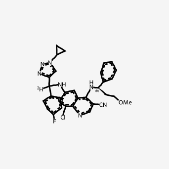 [2H]C(Nc1cc(Cl)c2ncc(C#N)c(N[C@H](CCOC)c3ccccc3)c2c1)(c1ccc(F)cc1)c1cn(C2CC2)nn1